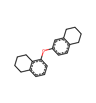 c1cc2c(c(Oc3ccc4c(c3)CCCC4)c1)CCCC2